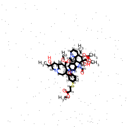 CC[C@]1(O)C[C@H]2CN(CCc3c([nH]c4ccc(SCCC(=O)OC)cc34)[C@@](C(=O)OC)(C3C=C4C(=CC3OC)N(C=O)[C@H]3[C@@](O)(C(=O)OC)[C@H](OC(C)=O)[C@]5(CC)C=CCN6CC[C@]43[C@@H]65)C2)C1